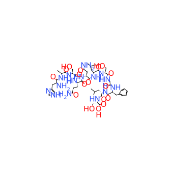 CC(C)C[C@H](NC(=O)[C@H](Cc1ccccc1)NC(=O)CNC(=O)[C@H](CO)NC(=O)[C@H](CC(C)C)NC(=O)[C@H](CC(N)=O)NC(=O)[C@H](CCC(N)=O)NC(=O)[C@H](CO)NC(=O)[C@H](C)NC(=O)[C@@H](N)Cc1c[nH]cn1)C(=O)N[C@@H](CO)C(=O)O